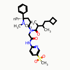 CCC[C@@](CCCN(CC(=O)Nc1ccc(S(C)(=O)=O)cn1)C(=O)C(C)C(C)CC1CCC1)(c1ccccc1)N(C)C